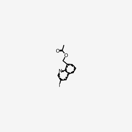 CC(=O)OCc1cccc2cc(I)cnc12